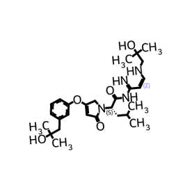 CC(C)C[C@@H](C(=O)NC(=N)/C=C\NCC(C)(C)O)N1CC(Oc2cccc(CC(C)(C)O)c2)=CC1=O